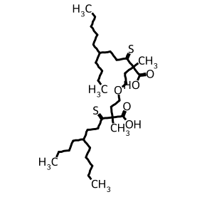 CCCCCC(CCCC)CCC(=S)C(C)(CCOCCC(C)(C(=O)O)C(=S)CCC(CCCC)CCCCC)C(=O)O